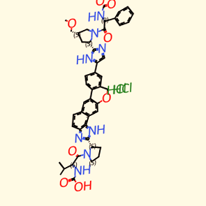 COC[C@H]1C[C@@H](c2ncc(-c3ccc4c(c3)COc3cc5c(ccc6nc([C@@H]7CC[C@H](C)N7C(=O)[C@@H](NC(=O)O)C(C)C)[nH]c65)cc3-4)[nH]2)N(C(=O)[C@H](NC(=O)OC)c2ccccc2)C1.Cl.Cl